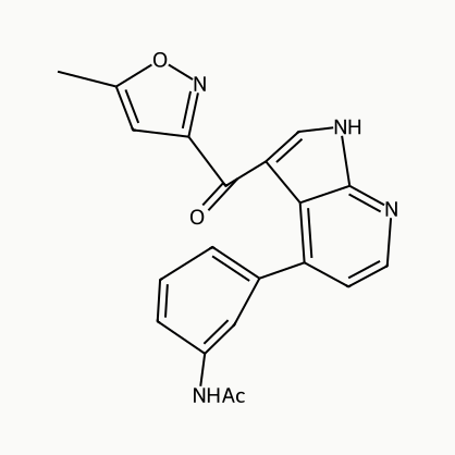 CC(=O)Nc1cccc(-c2ccnc3[nH]cc(C(=O)c4cc(C)on4)c23)c1